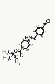 C#Cc1ccc(CNC2CCN(C(=O)OC(C)(C)C)CC2)cc1